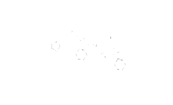 Cc1nc(COc2ccc(CC(NC(=O)O[C@H]3CO[C@H]4OCC[C@H]43)[C@@H](CN(CC(C)C)S(=O)(=O)c3ccc4c(c3)OCO4)[C@H](OCCCl)C(=O)O)cc2)cs1